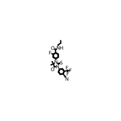 CCCNC(=O)c1ccc(N2C(=S)N(c3ccc(C#N)c(C(F)(F)F)c3)C(=O)C2(C)C)cc1F